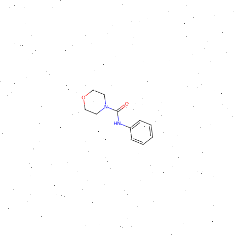 O=C(Nc1[c]cccc1)N1CCOCC1